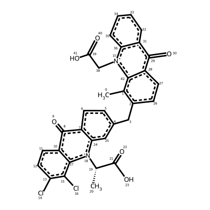 Cc1c(Cc2ccc3c(=O)c4ccc(Cl)c(Cl)c4n([C@@H](C)C(=O)O)c3c2)ccc2c(=O)c3ccccc3n(CC(=O)O)c12